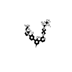 [2H]C([2H])([2H])Cn1ccn(-c2ccc(-c3cc(F)cc(-c4ccnc(N5CC6(CN(C(=O)OC(C)(C)C)C6)C5)c4)c3O)cc2Cl)c1=O